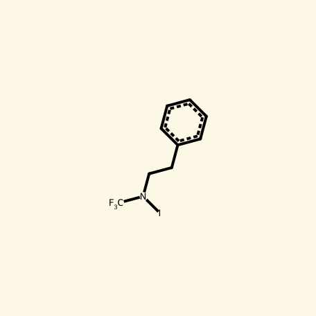 FC(F)(F)N(I)CCc1ccccc1